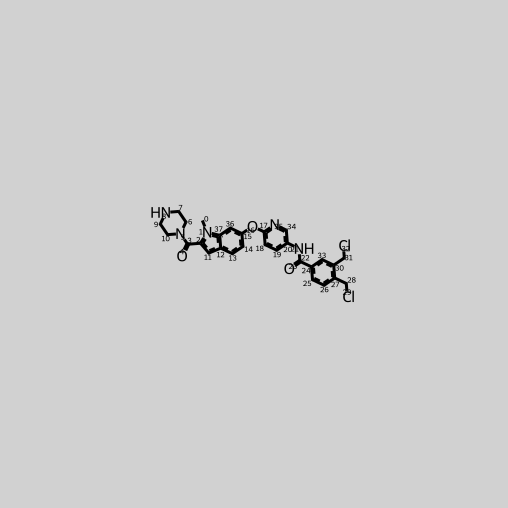 Cn1c(C(=O)N2CCNCC2)cc2ccc(Oc3ccc(NC(=O)c4ccc(CCl)c(CCl)c4)cn3)cc21